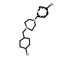 CCC1CCC(CN2CCN(c3ccc(C(C)C)cc3)CC2)CC1